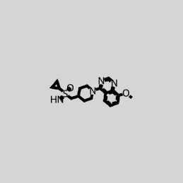 COc1cccc2c(N3CCC(CS(=N)(=O)C4CC4)CC3)ncnc12